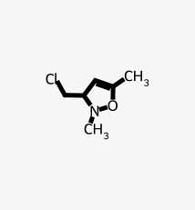 CC1=CC(CCl)N(C)O1